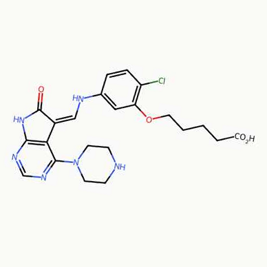 O=C(O)CCCCOc1cc(N/C=C2\C(=O)Nc3ncnc(N4CCNCC4)c32)ccc1Cl